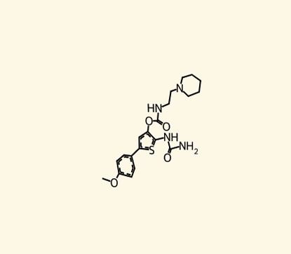 COc1ccc(-c2cc(OC(=O)NCCN3CCCCC3)c(NC(N)=O)s2)cc1